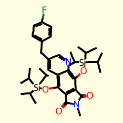 CC(C)[Si](Oc1c2c(c(O[Si](C(C)C)(C(C)C)C(C)C)c3ncc(Cc4ccc(F)cc4)cc13)C(=O)N(C)C2=O)(C(C)C)C(C)C